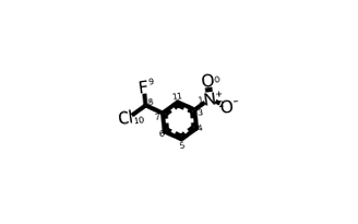 O=[N+]([O-])c1cccc(C(F)Cl)c1